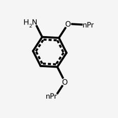 CCCOc1ccc(N)c(OCCC)c1